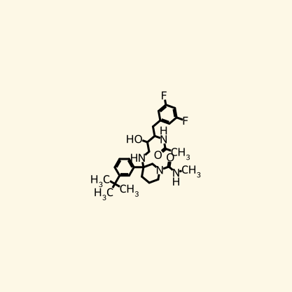 CNC(=O)N1CCCC(NCC(O)C(Cc2cc(F)cc(F)c2)NC(C)=O)(c2cccc(C(C)(C)C)c2)C1